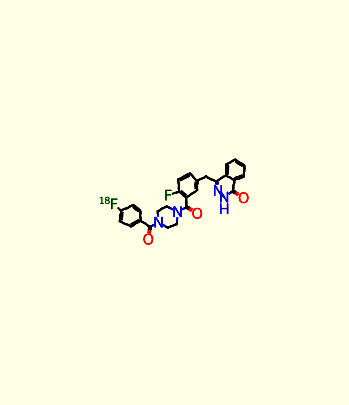 O=C(c1ccc([18F])cc1)N1CCN(C(=O)c2cc(Cc3n[nH]c(=O)c4ccccc34)ccc2F)CC1